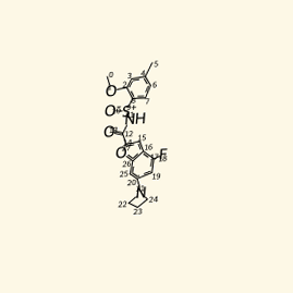 COc1cc(C)ccc1[S+]([O-])NC(=O)c1cc2c(F)cc(N3CCC3)cc2o1